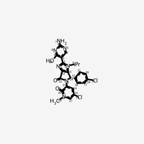 CC(C)n1c(-c2cnc(N)nc2O)nc2c1[C@H](c1ccc(Cl)cc1)N(c1cc(Cl)cn(C)c1=O)C2=O